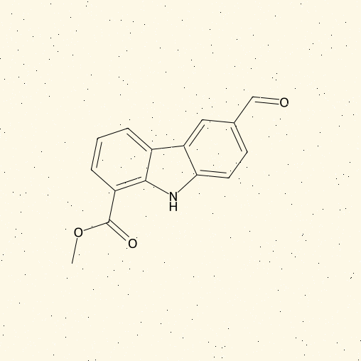 COC(=O)c1cccc2c1[nH]c1ccc(C=O)cc12